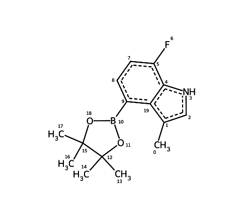 Cc1c[nH]c2c(F)ccc(B3OC(C)(C)C(C)(C)O3)c12